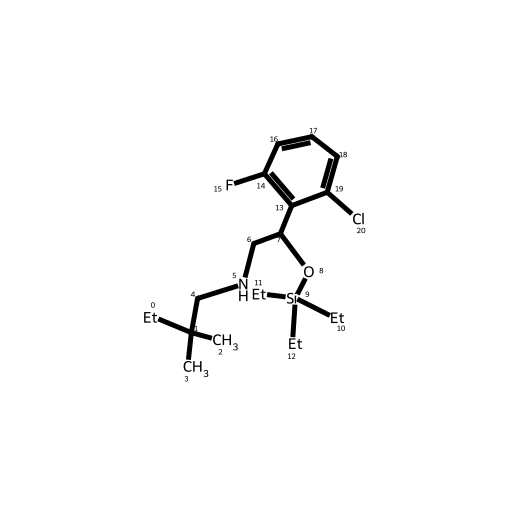 CCC(C)(C)CNCC(O[Si](CC)(CC)CC)c1c(F)cccc1Cl